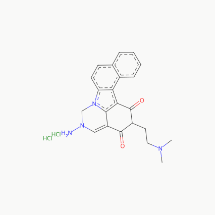 CN(C)CCC1C(=O)C2=CN(N)Cn3c2c(c2c4ccccc4ccc23)C1=O.Cl.Cl